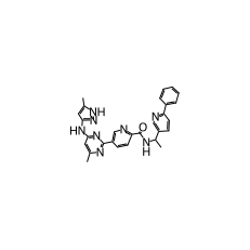 Cc1cc(Nc2cc(C)[nH]n2)nc(-c2ccc(C(=O)NC(C)c3ccc(-c4ccccc4)nc3)nc2)n1